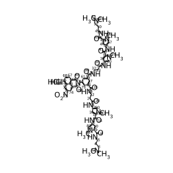 CN(C)CCCNC(=O)c1cc(NC(=O)c2cc(NC(=O)CCNC(=O)c3cc(C(=O)NCCC(=O)Nc4cc(C(=O)Nc5cc(C(=O)NCCCN(C)C)n(C)c5)n(C)c4)cc(N4C(=O)c5cccc6cc([N+](=O)[O-])cc(c56)C4=O)c3)cn2C)cn1C.Cl.Cl